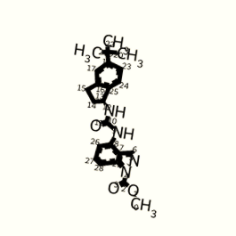 COC(=O)n1ncc2c(NC(=O)N[C@H]3CCc4cc(C(C)(C)C)ccc43)cccc21